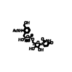 CC(=O)Nc1c(CO)cccc1CP(=O)(O)OP(=O)(O)OC[C@H]1O[C@@H](n2ccc(=O)[nH]c2=O)C(O)C1O